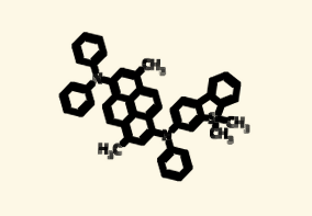 Cc1cc(N(c2ccccc2)c2ccccc2)c2ccc3c(C)cc(N(c4ccccc4)c4ccc5c(c4)[Si](C)(C)c4ccccc4-5)c4ccc1c2c34